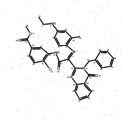 CCNc1ccc(/N=C(\C(=O)Nc2cc(C(=O)OC)ccc2Cl)c2nc3ccccc3c(=O)n2Cc2ccccc2)c(C)c1